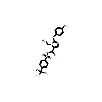 CCn1c(C(C)NS(=O)(=O)c2ccc(C(C)(C)C)cc2)cnc1Oc1ccc(C)cc1